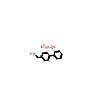 C=Cc1ccc(-c2ccccc2)cc1.OBO